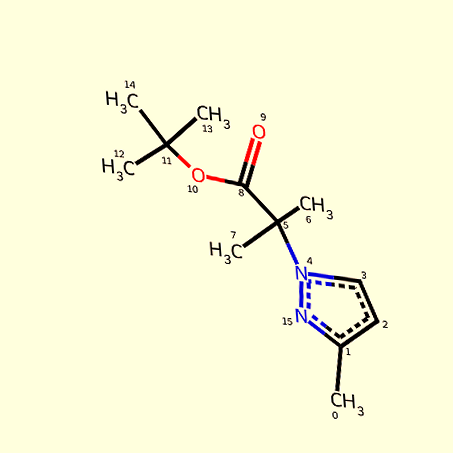 Cc1ccn(C(C)(C)C(=O)OC(C)(C)C)n1